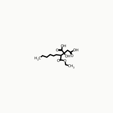 CCCCCCC(C(=O)OCC)C(O)(CC(=O)O)C(=O)O